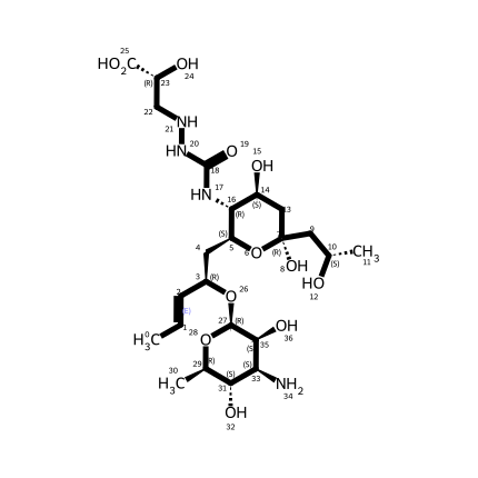 C/C=C/[C@@H](C[C@@H]1O[C@](O)(C[C@H](C)O)C[C@H](O)[C@H]1NC(=O)NNC[C@@H](O)C(=O)O)O[C@@H]1O[C@H](C)[C@@H](O)[C@H](N)[C@@H]1O